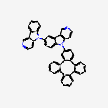 c1ccc2c(c1)-c1ccccc1-c1ccc(-n3c4ccncc4c4cc(-n5c6ccccc6c6cnccc65)ccc43)cc1-c1ccccc1-2